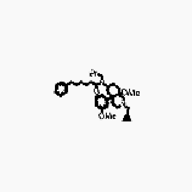 COc1cccc(C23CCN(CC4CC4)CC2(OC)CCC(N(CC(C)C)C(=O)CCCCCc2ccccc2)C3)c1